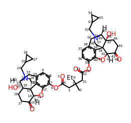 CCC(C)(CC(=O)Oc1ccc2c3c1O[C@H]1C(=O)CC[C@@]4(O)[C@@H](C2)N(CC2CC2)CC[C@]314)CC(=O)Oc1ccc2c3c1O[C@H]1C(=O)CC[C@@]4(O)[C@@H](C2)N(CC2CC2)CC[C@]314